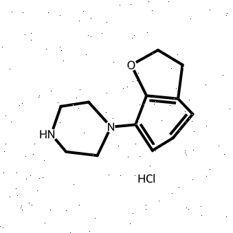 Cl.c1cc2c(c(N3CCNCC3)c1)OCC2